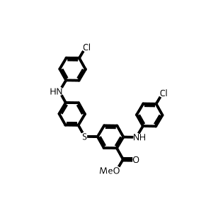 COC(=O)c1cc(Sc2ccc(Nc3ccc(Cl)cc3)cc2)ccc1Nc1ccc(Cl)cc1